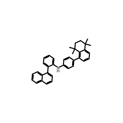 CC1(C)CCC(C)(C)c2c(-c3ccc(Nc4ccccc4-c4cccc5ccccc45)cc3)cccc21